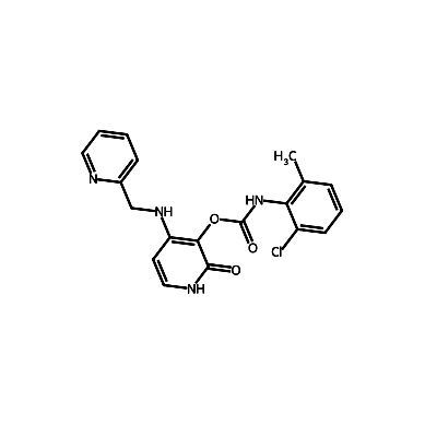 Cc1cccc(Cl)c1NC(=O)Oc1c(NCc2ccccn2)cc[nH]c1=O